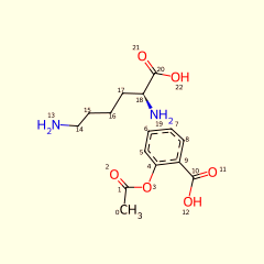 CC(=O)Oc1ccccc1C(=O)O.NCCCC[C@H](N)C(=O)O